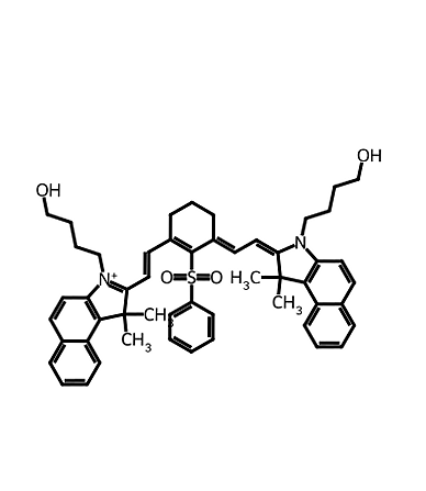 CC1(C)C(/C=C/C2=C(S(=O)(=O)c3ccccc3)C(=C/C=C3/N(CCCCO)c4ccc5ccccc5c4C3(C)C)/CCC2)=[N+](CCCCO)c2ccc3ccccc3c21